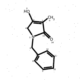 CC1=C(O)CN(Cc2ccccc2)C1=O